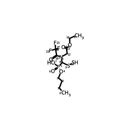 CCCCOP(=O)(O)C(SS)N(CC(=O)OCC)C(=O)C(F)(F)F